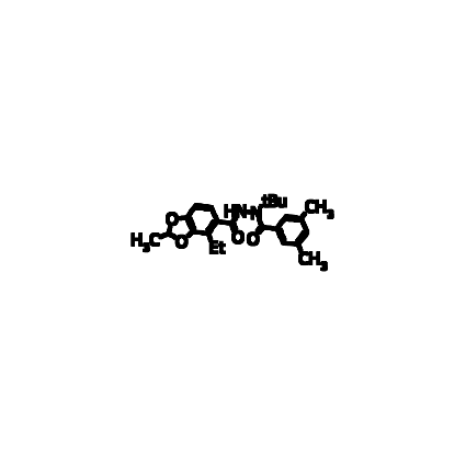 CCc1c(C(=O)NN(C(=O)c2cc(C)cc(C)c2)C(C)(C)C)ccc2c1OC(C)O2